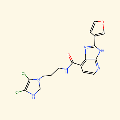 O=C(NCCCN1CNC(Cl)=C1Cl)c1ccnc2[nH]c(-c3ccoc3)nc12